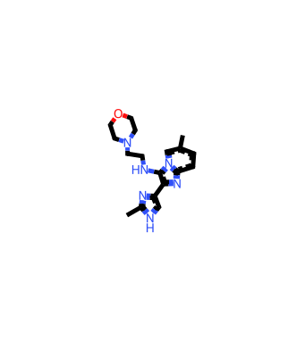 Cc1ccc2nc(-c3c[nH]c(C)n3)c(NCCN3CCOCC3)n2c1